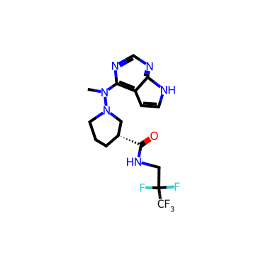 CN(c1ncnc2[nH]ccc12)N1CCC[C@@H](C(=O)NCC(F)(F)C(F)(F)F)C1